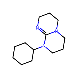 C1CCC(N2CCCN3CCCN=C32)CC1